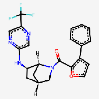 O=C(c1occc1-c1ccccc1)N1C[C@@H]2C[C@@H](Nc3cnc(C(F)(F)F)cn3)[C@@H]1C2